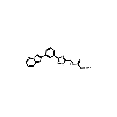 COCC(=O)NCc1nc(-c2cccc(-c3cn4ncccc4n3)c2)no1